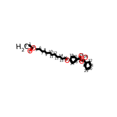 C=CC(=O)OCCCCCCCCCCCCOc1ccc(C(=O)OC(=O)c2ccccc2)cc1